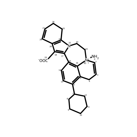 N[N@+]12C=CCc3c(C4CCCCC4)ccc(c31)-c1c(C(=O)[O-])c3c(n1CC2)CCC=C3